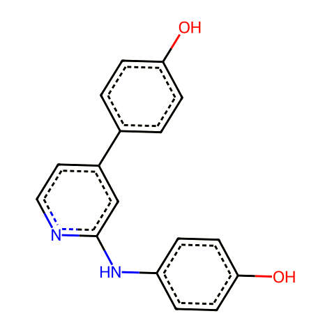 Oc1ccc(Nc2cc(-c3ccc(O)cc3)ccn2)cc1